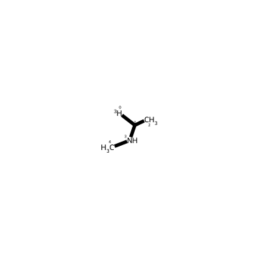 [3H]C(C)NC